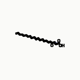 CCCCCCCCCCCCCCCCCCC(=O)/C=C/C(=O)O